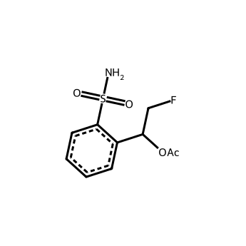 CC(=O)OC(CF)c1ccccc1S(N)(=O)=O